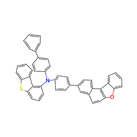 c1ccc(-c2ccc(N(c3ccc(-c4ccc5c(ccc6oc7ccccc7c65)c4)cc3)c3cccc4sc5ccccc5c34)cc2)cc1